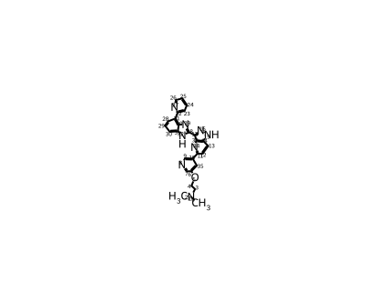 CN(C)CCOc1cncc(-c2ccc3[nH]nc(-c4nc5c(-c6ccccn6)cccc5[nH]4)c3n2)c1